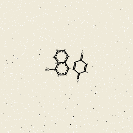 O=C1C=CC(=O)C=C1.Oc1cccc2ccccc12